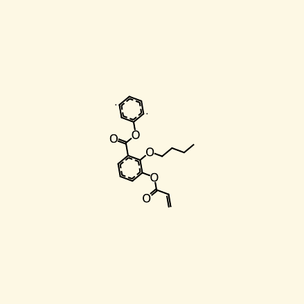 C=CC(=O)Oc1cccc(C(=O)Oc2[c]cc[c]c2)c1OCCCC